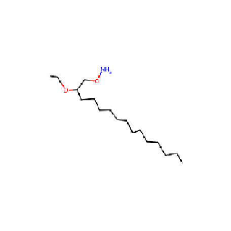 [CH2]COC([CH]CCCCCCCCCCCC)CON